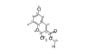 Cc1cc(Cl)cc2c1OC(C(F)(F)F)C(C(=O)OCI)=C2